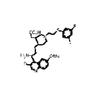 COc1ccc2ncc(F)c([C@H](N)CCC3CCN(CCSc4cc(F)cc(F)c4)CC3CC(=O)O)c2c1